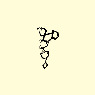 O=C(CN1C(=O)C2(CCNCC2)c2ccccc21)N1CCN(C2CCC2)CC1